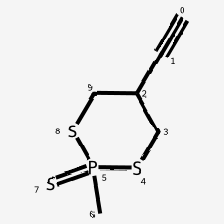 C#CC1CSP(C)(=S)SC1